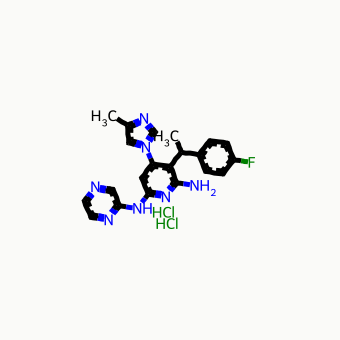 Cc1cn(-c2cc(Nc3cnccn3)nc(N)c2C(C)c2ccc(F)cc2)cn1.Cl.Cl